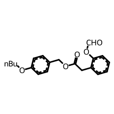 CCCCOc1ccc(COC(=O)Cc2ccccc2OC=O)cc1